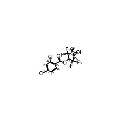 O=C(OC(C(F)(F)F)C(F)(F)S(=O)(=O)O)c1ccc(Cl)cc1Cl